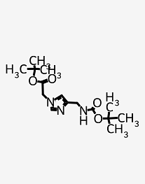 CC(C)(C)OC(=O)Cn1cnc(CNC(=O)OC(C)(C)C)c1